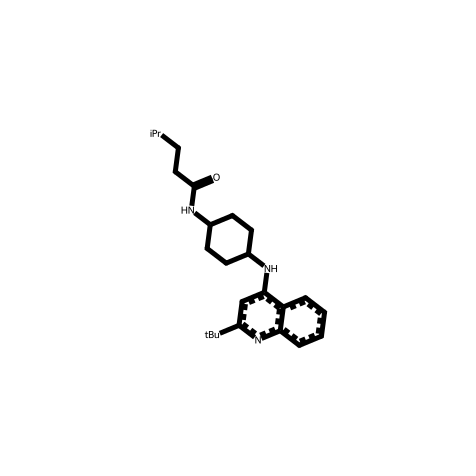 CC(C)CCC(=O)NC1CCC(Nc2cc(C(C)(C)C)nc3ccccc23)CC1